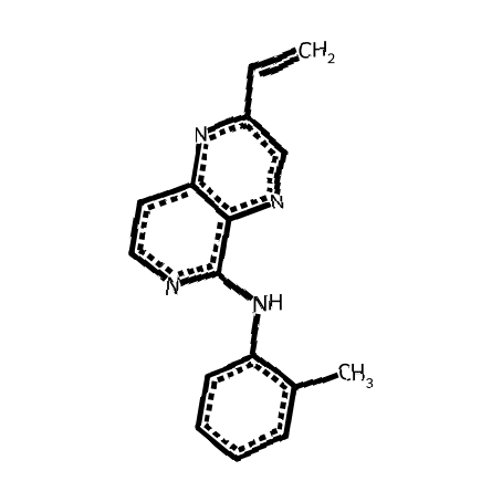 C=Cc1cnc2c(Nc3ccccc3C)nccc2n1